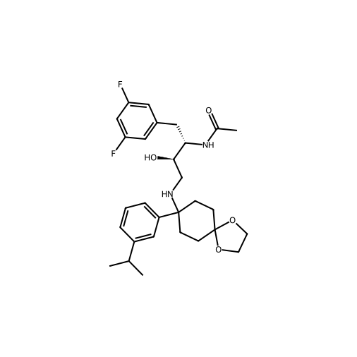 CC(=O)N[C@@H](Cc1cc(F)cc(F)c1)[C@H](O)CNC1(c2cccc(C(C)C)c2)CCC2(CC1)OCCO2